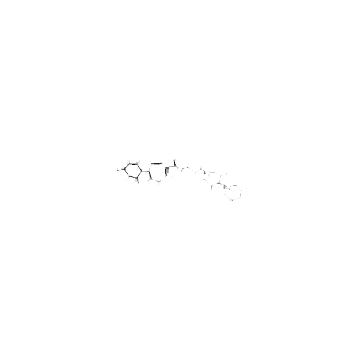 O=C(NCCCN1CCC(N2CCCCC2)CC1)C1=CCC=C(c2ccc(Cl)cc2C(F)(F)F)C=C1